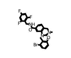 CN1Cc2ccc(C(=O)NCc3c(F)cc(F)cc3F)cc2N(Cc2c(F)cccc2Br)C1=O